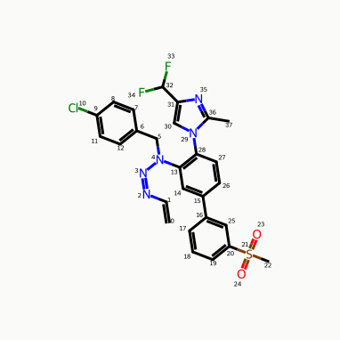 C=C/N=N\N(Cc1ccc(Cl)cc1)c1cc(-c2cccc(S(C)(=O)=O)c2)ccc1-n1cc(C(F)F)nc1C